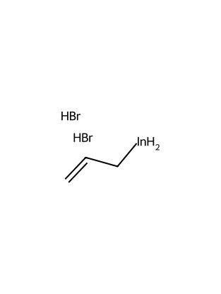 Br.Br.C=C[CH2][InH2]